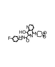 O=C(NCc1ccc(F)cc1)c1nc(N2CCS(=O)(=O)CC2)c2cccnc2c1O